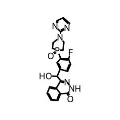 O=c1[nH]nc(C(O)c2ccc(F)c(P3(=O)CCN(c4ncccn4)CC3)c2)c2ccccc12